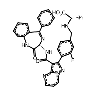 CC(C)[C@H](NCc1ccc(-c2nn3cccnc3c2C(=O)N[C@H]2N=C(c3ccccc3)c3ccccc3NC2=O)c(F)c1)C(=O)O